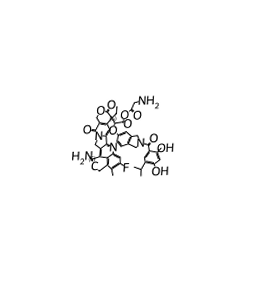 CC[C@]1(C(Oc2ccc3c(c2)CN(C(=O)c2cc(C(C)C)c(O)cc2O)C3)C(=O)OC(=O)CN)C(=O)OCc2c1cc1n(c2=O)Cc2c-1nc1cc(F)c(C)c3c1c2[C@@H](N)CC3